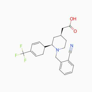 N#Cc1ccccc1CN1CC[C@H](CC(=O)O)C[C@@H]1C1C=CC(C(F)(F)F)=CC1